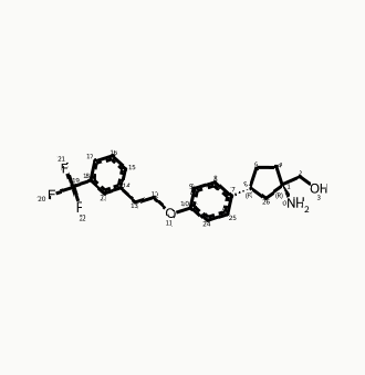 N[C@]1(CO)CC[C@@H](c2ccc(OCCc3cccc(C(F)(F)F)c3)cc2)C1